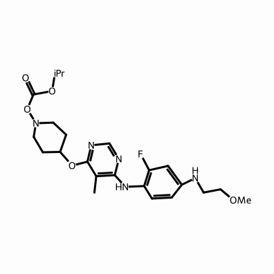 COCCNc1ccc(Nc2ncnc(OC3CCN(OC(=O)OC(C)C)CC3)c2C)c(F)c1